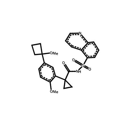 COc1ccc(C2(OC)CCC2)cc1C1(C(=O)NS(=O)(=O)c2cccc3ncccc23)CC1